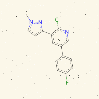 Cn1ccc(-c2cc(-c3ccc(F)cc3)cnc2Cl)n1